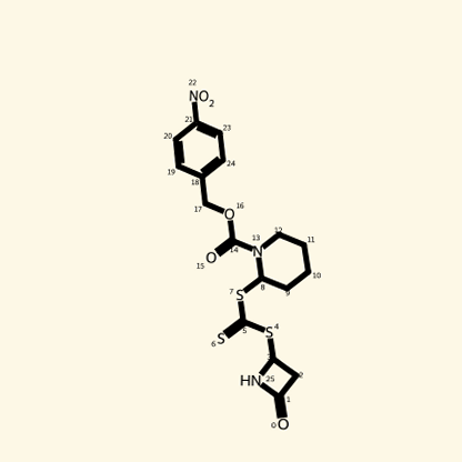 O=C1CC(SC(=S)SC2CCCCN2C(=O)OCc2ccc([N+](=O)[O-])cc2)N1